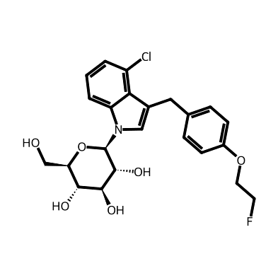 OC[C@H]1O[C@@H](n2cc(Cc3ccc(OCCF)cc3)c3c(Cl)cccc32)[C@H](O)[C@@H](O)[C@@H]1O